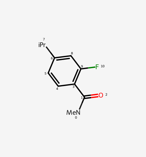 CNC(=O)c1ccc(C(C)C)cc1F